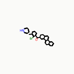 C1=CC=CNC=C1.Cc1cccc(C(=O)C2C=c3c(ccc4c3=CCc3ccccc3-4)CC2)c1Br